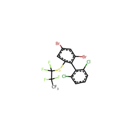 FC(F)(F)C(F)(F)C(F)(F)Sc1cc(Br)[c]c(Br)c1-c1c(Cl)cccc1Cl